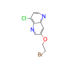 Clc1ccnc2cc(OCCBr)cnc12